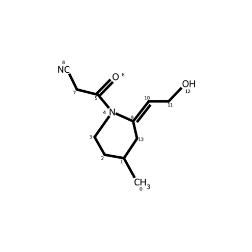 CC1CCN(C(=O)CC#N)C(=CCO)C1